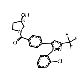 O=C(c1ccc(-c2cc(C(F)(F)F)nn2-c2ccccc2Cl)cc1)N1CC[C@@H](O)C1